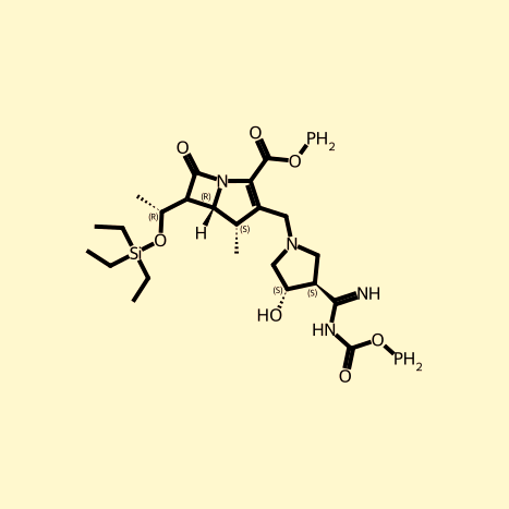 CC[Si](CC)(CC)O[C@H](C)C1C(=O)N2C(C(=O)OP)=C(CN3C[C@@H](O)[C@H](C(=N)NC(=O)OP)C3)[C@H](C)[C@H]12